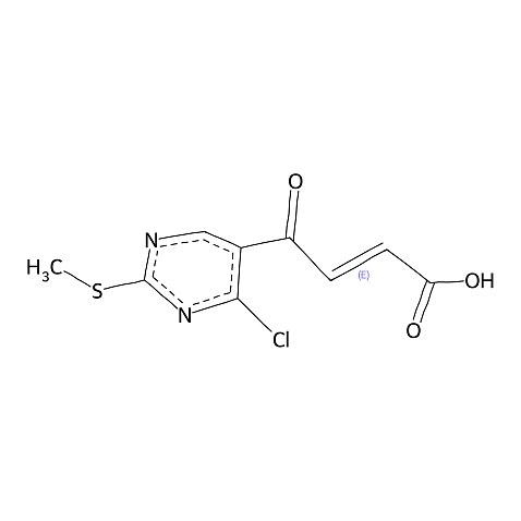 CSc1ncc(C(=O)/C=C/C(=O)O)c(Cl)n1